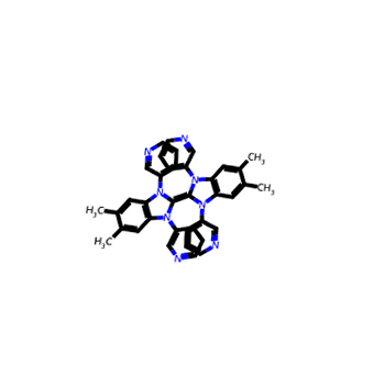 Cc1cc2c(cc1C)N(c1cccnc1)/C(=C1/N(C3=CN=CCC3)c3cc(C)c(C)cc3N1c1cccnc1)N2C1=C=C=CN=C1